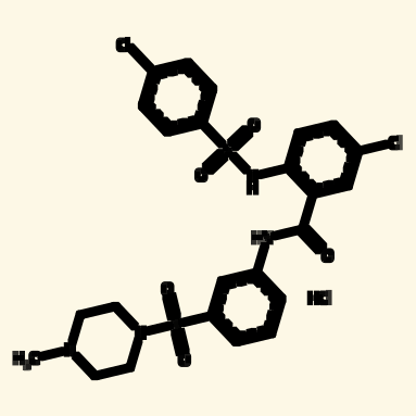 CN1CCN(S(=O)(=O)c2cccc(NC(=O)c3cc(Cl)ccc3NS(=O)(=O)c3ccc(Cl)cc3)c2)CC1.Cl